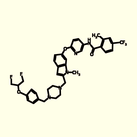 Cc1cc(C(F)(F)F)ccc1C(=O)Nc1ccc(Oc2ccc3cc(CN4CCN(Cc5ccc(OC(CF)CF)cc5)CC4)n(C)c3c2)nc1